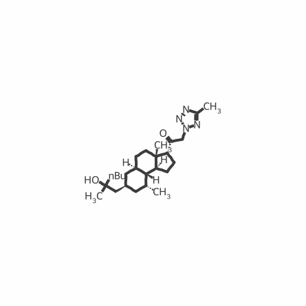 CCCCC(C)(O)C[C@H]1C[C@H]2CC[C@]3(C)[C@H](C(=O)Cn4nnc(C)n4)CC[C@H]3[C@@H]2[C@H](C)C1